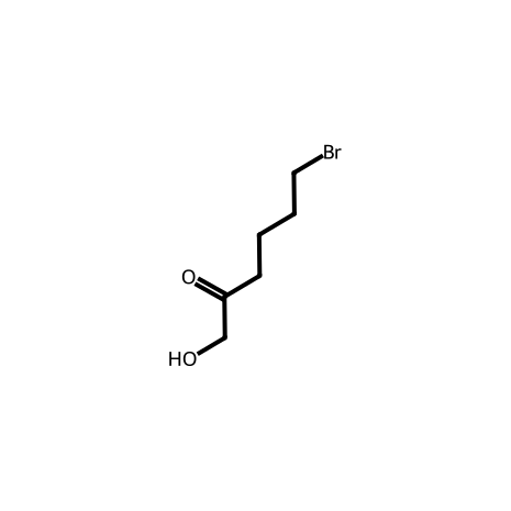 O=C(CO)CCCCBr